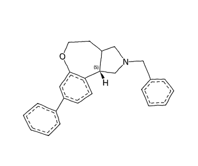 c1ccc(CN2CC3CCOc4cc(-c5ccccc5)ccc4[C@H]3C2)cc1